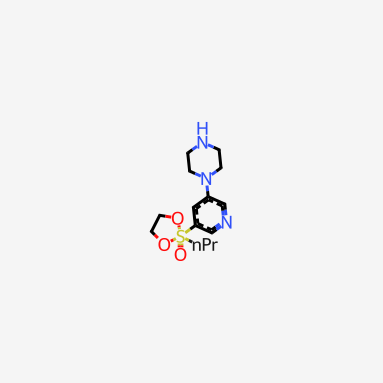 CCCS1(=O)(c2cncc(N3CCNCC3)c2)OCCO1